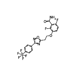 NC(=O)c1c(F)ccc(OCCc2nc(-c3ccc(S(F)(F)(F)(F)F)cc3)no2)c1F